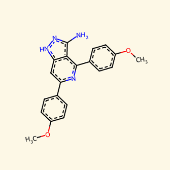 COc1ccc(-c2cc3[nH]nc(N)c3c(-c3ccc(OC)cc3)n2)cc1